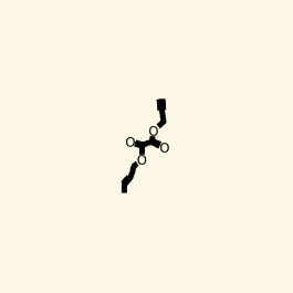 C#CCOC(=O)C(=O)OC/C=C/C